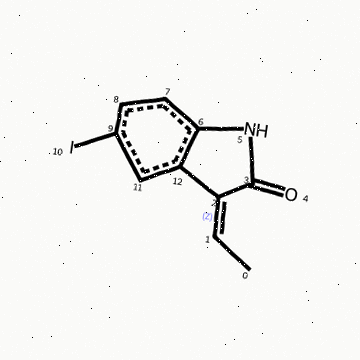 C/C=C1\C(=O)Nc2ccc(I)cc21